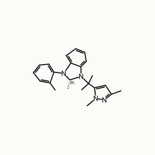 Cc1cc(C(C)(C)N2c3ccccc3N(c3ccccc3C)[C@H]2C)n(C)n1